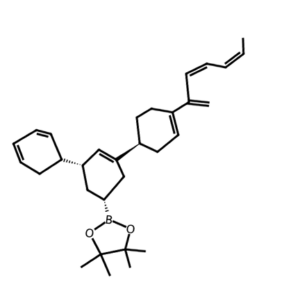 C=C(/C=C\C=C/C)C1=CC[C@@H](C2=C[C@@H](C3C=CC=CC3)C[C@@H](B3OC(C)(C)C(C)(C)O3)C2)CC1